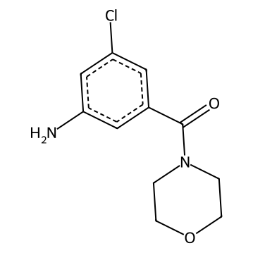 Nc1cc(Cl)cc(C(=O)N2CCOCC2)c1